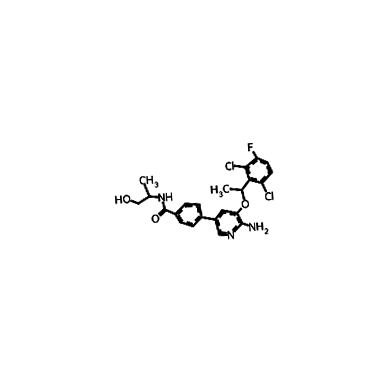 CC(CO)NC(=O)c1ccc(-c2cnc(N)c(OC(C)c3c(Cl)ccc(F)c3Cl)c2)cc1